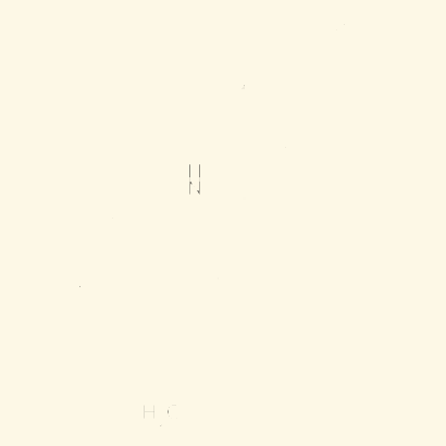 C=Cc1cccc(NCc2ccccc2)c1